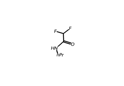 CCCNC(=O)C(F)F